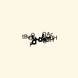 CC(=O)OCC1c2cc(-c3cn(C(=O)OC(C)(C)C)c4cc(F)ccc34)ccc2S(=O)(=O)N1CC(O)CO